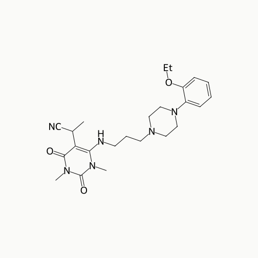 CCOc1ccccc1N1CCN(CCCNc2c(C(C)C#N)c(=O)n(C)c(=O)n2C)CC1